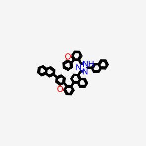 C1=C(C2N=C(C3=c4ccccc4=C(c4cccc5oc6cc(-c7ccc8ccccc8c7)ccc6c45)CC3)N=C(c3ccc4ccccc4c3)N2)c2c(oc3ccccc23)CC1